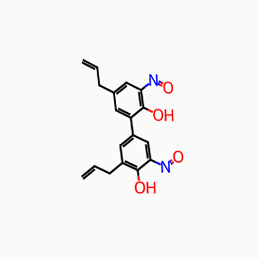 C=CCc1cc(N=O)c(O)c(-c2cc(CC=C)c(O)c(N=O)c2)c1